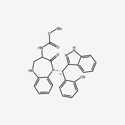 CC(C)(C)OC(=O)NC1CNc2ccccc2N([C@@H](c2ccccc2C#N)c2n[nH]c3ccccc23)C1=O